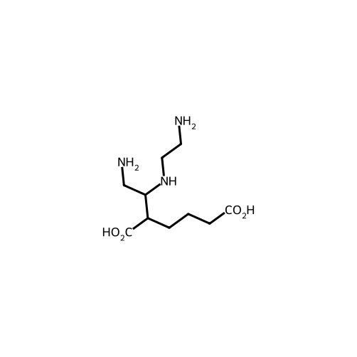 NCCNC(CN)C(CCCC(=O)O)C(=O)O